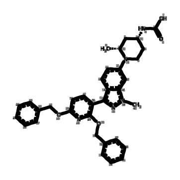 C[C@@H]1C[C@H](NC(=O)O)CCN1c1ccc2c(-c3ccc(OCc4ccccc4)nc3OCc3ccccc3)nn(C)c2c1